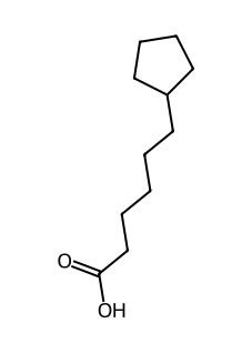 O=C(O)CCCCCC1CCCC1